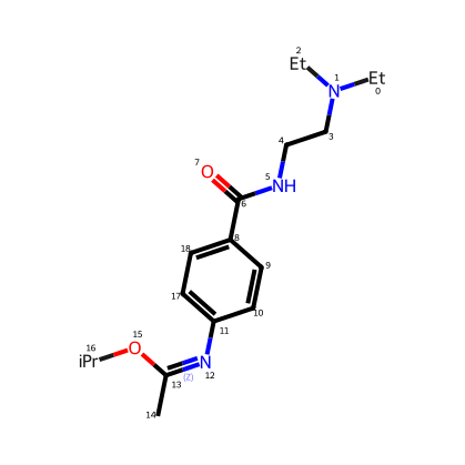 CCN(CC)CCNC(=O)c1ccc(/N=C(/C)OC(C)C)cc1